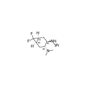 CC(C)N[C@@H]1C[C@H]2[C@@H](C[C@H]1N(C)C)C2(F)F